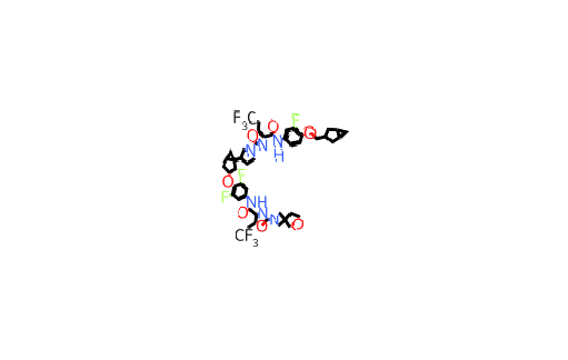 O=C(Nc1ccc(OCC2CC3CC3C2)c(F)c1)c1nc(N2CCC(C34CC(Oc5c(F)cc(NC(=O)c6nc(N7CC8(CCOC8)C7)oc6CC(F)(F)F)cc5F)CC3C4)C2)oc1CC(F)(F)F